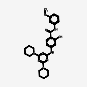 O=C(Nc1cccc(OC(F)(F)F)c1)c1ccc(Nc2nc(N3CCCCC3)nc(N3CCCCC3)n2)cc1O